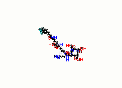 [N-]=[N+]=NCCCC[C@H](NC(=O)CN1CCC(CC(=O)O)CCN(CC(=O)O)CCN(CC(=O)O)CC1)C(=O)NCCCCCC(=O)N[C@@H](CCCCNC(=O)CCCc1ccc(C(F)(F)F)c(F)c1)C(=O)O